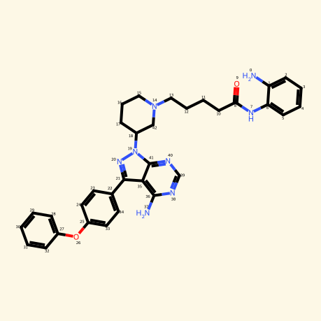 Nc1ccccc1NC(=O)CCCCN1CCCC(n2nc(-c3ccc(Oc4ccccc4)cc3)c3c(N)ncnc32)C1